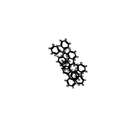 c1ccc(-c2ccccc2-n2c3ccccc3c3cccc(-n4c5cccc([Si](c6ccccc6)(c6ccccc6)c6ccccc6)c5c5cccc(-c6ccccc6)c54)c32)cc1